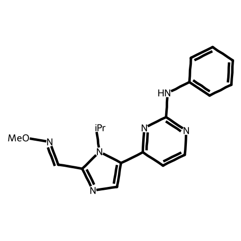 CON=Cc1ncc(-c2ccnc(Nc3ccccc3)n2)n1C(C)C